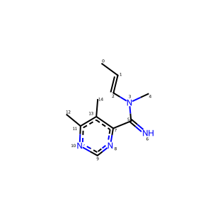 C/C=C/N(C)C(=N)c1ncnc(C)c1C